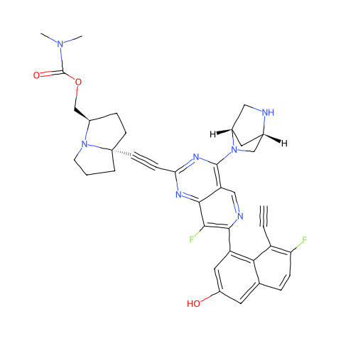 C#Cc1c(F)ccc2cc(O)cc(-c3ncc4c(N5C[C@@H]6C[C@H]5CN6)nc(C#C[C@]56CCCN5[C@@H](COC(=O)N(C)C)CC6)nc4c3F)c12